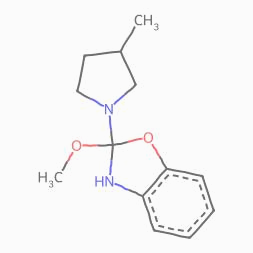 COC1(N2CCC(C)C2)Nc2ccccc2O1